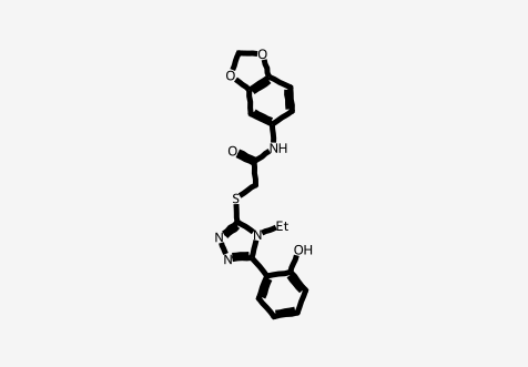 CCn1c(SCC(=O)Nc2ccc3c(c2)OCO3)nnc1-c1ccccc1O